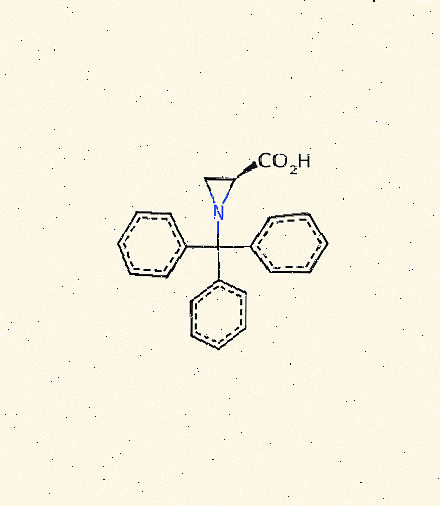 O=C(O)[C@@H]1CN1C(c1ccccc1)(c1ccccc1)c1ccccc1